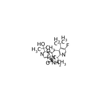 CC(C)c1ncc(F)c(C(C)C)c1CC(=O)N=[S@@](N)(=O)c1cnc(C(C)(C)O)s1